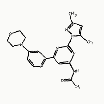 CC(=O)Nc1cc(-c2cc(N3CCOCC3)ccn2)nc(-n2nc(C)cc2C)n1